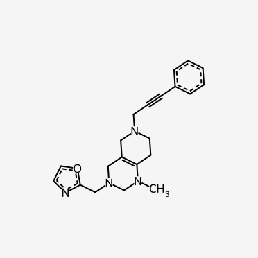 CN1CN(Cc2ncco2)CC2=C1CCN(CC#Cc1ccccc1)C2